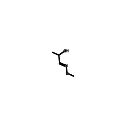 CON=CC(C)O